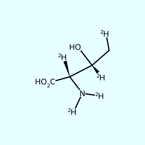 [2H]C[C@@]([2H])(O)[C@@]([2H])(C(=O)O)N([2H])[2H]